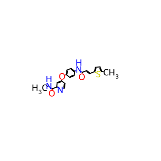 CNC(=O)c1cc(Oc2ccc(NC(=O)C=Cc3ccc(C)s3)cc2)ccn1